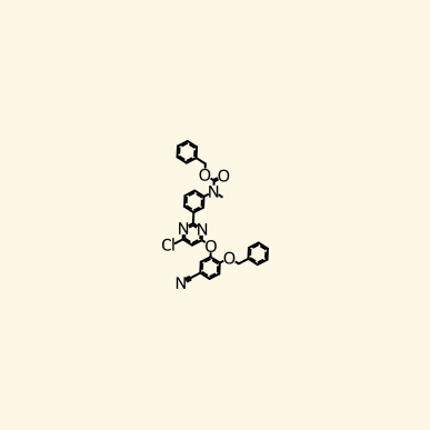 CN(C(=O)OCc1ccccc1)c1cccc(-c2nc(Cl)cc(Oc3cc(C#N)ccc3OCc3ccccc3)n2)c1